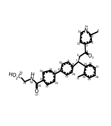 Cc1cc(C(=O)C[C@H](c2ccc(-c3ccc(C(=O)NCC(=O)O)cc3)cc2)c2ccccc2C)ccn1